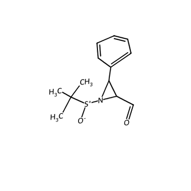 CC(C)(C)[S+]([O-])N1C(C=O)C1c1ccccc1